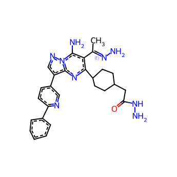 C/C(=N\N)c1c(C2CCC(CC(=O)NN)CC2)nc2c(-c3ccc(-c4ccccc4)nc3)cnn2c1N